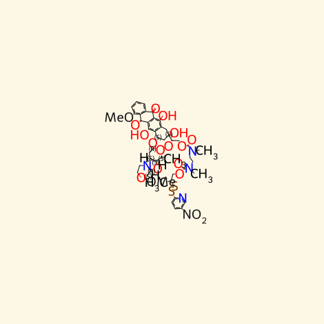 COc1cccc2c1C(=O)c1c(O)c3c(c(O)c1C2=O)C[C@@](O)(C(=O)COC(=O)N(C)CCN(C)C(=O)OCC(C)SSc1ccc([N+](=O)[O-])cn1)C[C@@H]3O[C@H]1C[C@H]2[C@H](O[C@@H]3[C@@H](OC)OCCN32)[C@H](C)O1